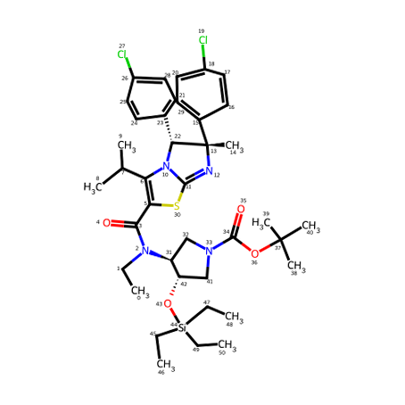 CCN(C(=O)C1=C(C(C)C)N2C(=N[C@@](C)(c3ccc(Cl)cc3)[C@H]2c2ccc(Cl)cc2)S1)[C@H]1CN(C(=O)OC(C)(C)C)C[C@@H]1O[Si](CC)(CC)CC